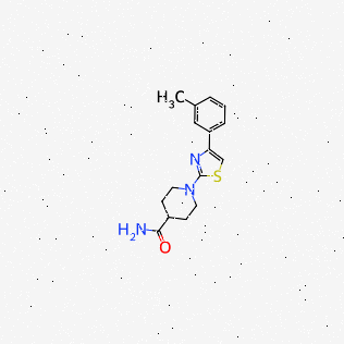 Cc1cccc(-c2csc(N3CCC(C(N)=O)CC3)n2)c1